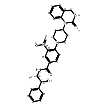 C[C@H](NC(=O)c1ccc(N2CCC(N3C(=O)OCc4ccccc43)CC2)c([N+](=O)[O-])c1)[C@@H](O)c1ccccc1